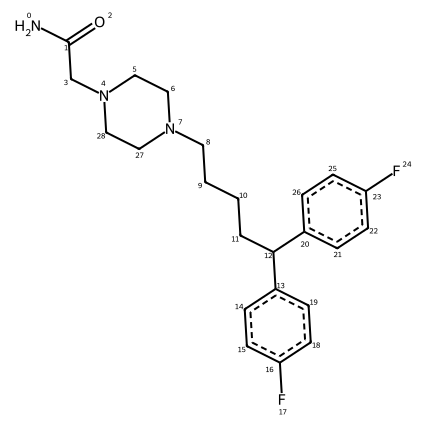 NC(=O)CN1CCN(CCCCC(c2ccc(F)cc2)c2ccc(F)cc2)CC1